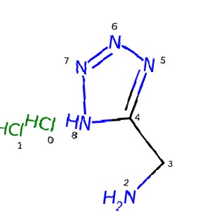 Cl.Cl.NCc1nnn[nH]1